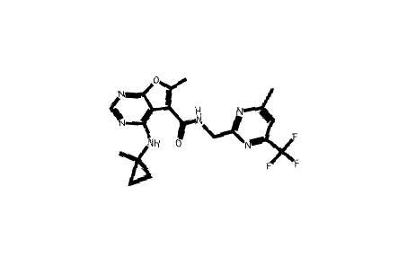 Cc1cc(C(F)(F)F)nc(CNC(=O)c2c(C)oc3ncnc(NC4(C)CC4)c23)n1